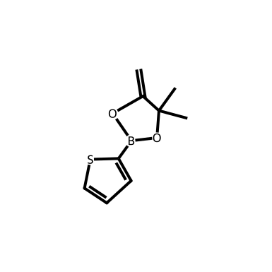 C=C1OB(c2cccs2)OC1(C)C